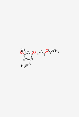 CCOCCCOc1cc(CC)cc(OC)c1